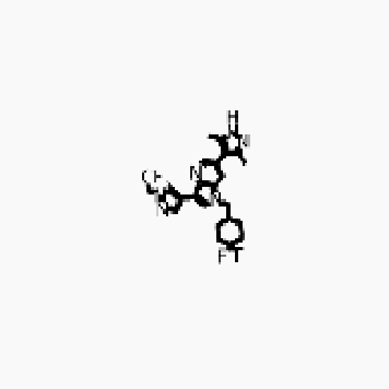 Cc1n[nH]c(C)c1-c1cnc2c(-c3cnn(CC(F)(F)F)c3)cn(CC3CCC(F)(F)CC3)c2c1